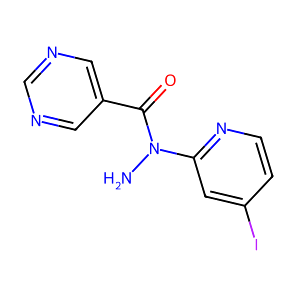 NN(C(=O)c1cncnc1)c1cc(I)ccn1